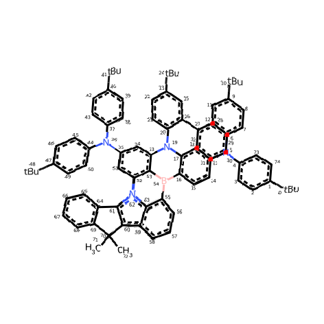 CC(C)(C)c1ccc(N(c2ccc(C(C)(C)C)cc2)c2ccc3c(c2)N(c2ccc(C(C)(C)C)cc2-c2ccccc2)c2cc(N(c4ccc(C(C)(C)C)cc4)c4ccc(C(C)(C)C)cc4)cc4c2B3c2cccc3c5c(n-4c23)-c2ccccc2C5(C)C)cc1